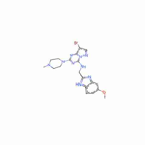 COc1ccc2[nH]c(CNc3nc(N4CCN(C)CC4)nc4c(Br)cnn34)nc2c1